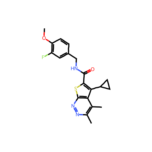 COc1ccc(CNC(=O)c2sc3nnc(C)c(C)c3c2C2CC2)cc1F